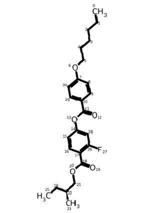 CCCCCCOc1ccc(C(=O)Oc2ccc(C(=O)OC[C@@H](C)CC)c(F)c2)cc1